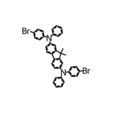 CC1(C)c2cc(N(c3ccccc3)c3ccc(Br)cc3)ccc2-c2ccc(N(c3ccccc3)c3ccc(Br)cc3)cc21